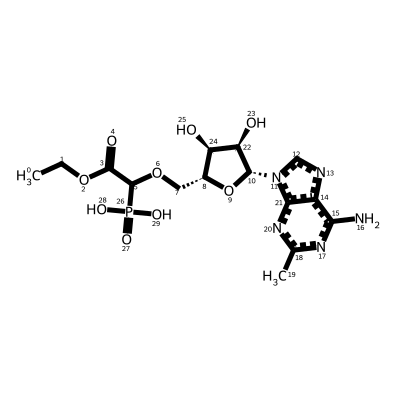 CCOC(=O)C(OC[C@H]1O[C@@H](n2cnc3c(N)nc(C)nc32)[C@H](O)[C@@H]1O)P(=O)(O)O